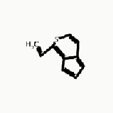 C=Cc1sccc2[c]ccc1-2